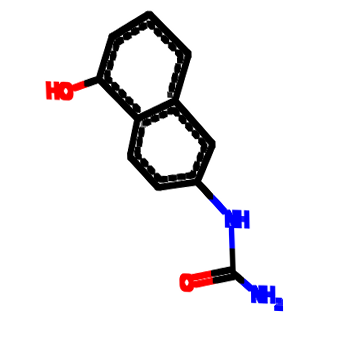 NC(=O)Nc1ccc2c(O)cccc2c1